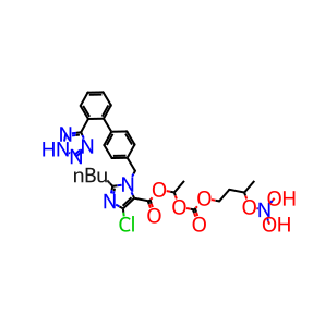 CCCCc1nc(Cl)c(C(=O)OC(C)OC(=O)OCCC(C)ON(O)O)n1Cc1ccc(-c2ccccc2-c2nn[nH]n2)cc1